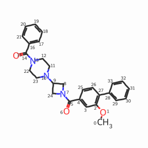 COc1cc(C(=O)N2CC(N3CCN(C(=O)c4ccccc4)CC3)C2)ccc1-c1ccccc1